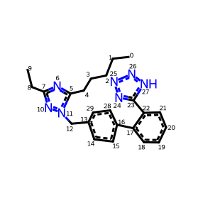 CCCCCc1nc(CC)nn1Cc1ccc(-c2ccccc2-c2nnn[nH]2)cc1